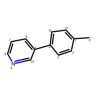 [CH2]c1ccc(-c2cccnc2)cc1